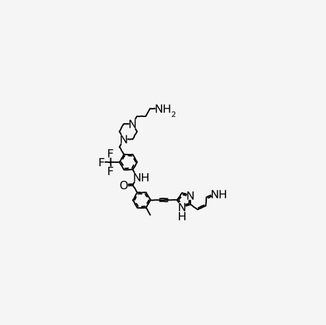 Cc1ccc(C(=O)Nc2ccc(CN3CCN(CCCN)CC3)c(C(F)(F)F)c2)cc1C#Cc1cnc(/C=C\C=N)[nH]1